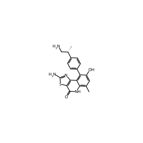 Cc1cc(O)c(-c2ccc([C@@H](C)CN)cc2)c2c1[nH]c(=O)c1sc(N)nc12